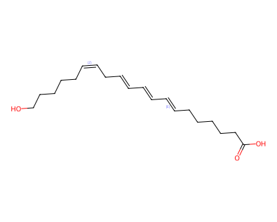 O=C(O)CCCCC/C=C/C=CC=CC/C=C\CCCCCO